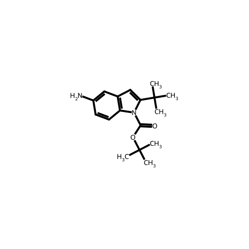 CC(C)(C)OC(=O)n1c(C(C)(C)C)cc2cc(N)ccc21